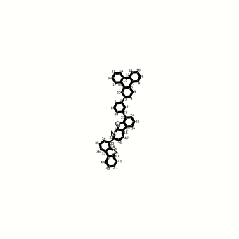 c1cc(-c2ccc3c4ccccc4c4ccccc4c3c2)cc(-c2cccc3c2oc2nc(-c4cccc5c4sc4ccccc45)ccc23)c1